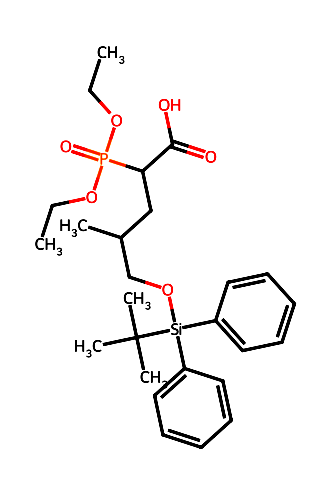 CCOP(=O)(OCC)C(CC(C)CO[Si](c1ccccc1)(c1ccccc1)C(C)(C)C)C(=O)O